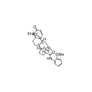 CCN1C(=O)C=C[C@@]2(C)C1CC[C@@H]1[C@H]2CC[C@]2(C)C(C(=O)Nc3ccccc3OC)CC[C@@H]12